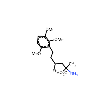 CCC(CCc1c(OC)ccc(OC)c1OC)CC(C)(N)C(=O)O